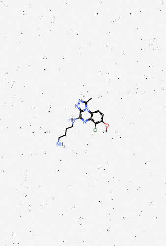 COc1ccc2c(nc(NCCCCN)c3nnc(C)n32)c1Cl